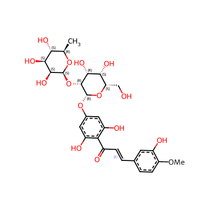 COc1ccc(/C=C/C(=O)c2c(O)cc(O[C@H]3O[C@@H](CO)[C@@H](O)[C@@H](O)[C@H]3O[C@@H]3O[C@H](C)[C@@H](O)[C@H](O)[C@@H]3O)cc2O)cc1O